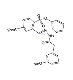 CCCCCc1ccc(S(=O)(=O)Oc2ccccc2)c(/C=N/NC(=O)Cc2cccc(OC)c2)c1